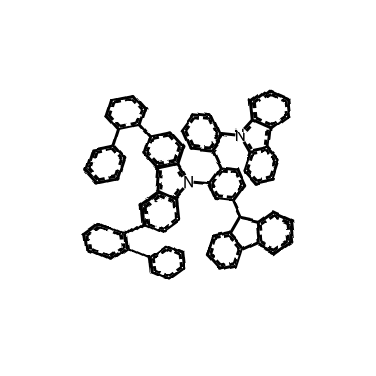 c1ccc(-c2ccccc2-c2ccc3c(c2)c2cc(-c4ccccc4-c4ccccc4)ccc2n3-c2cc(C3c4ccccc4-c4ccccc43)ccc2-c2ccccc2-n2c3ccccc3c3ccccc32)cc1